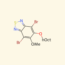 CCCCCCCCOc1c(OC)c(Br)c2nsnc2c1Br